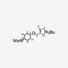 CCC(C)N1CC(C)C(COc2ccc(NC)cc2)C1